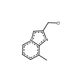 Cc1cccn2cc(CCl)nc12